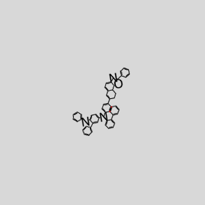 C1=C(c2ccc(N(c3ccc4c(c3)c3ccccc3n4-c3ccccc3)c3ccccc3-c3ccccc3)cc2)CCC2C1=CC=C1N=C(c3ccccc3)OC12